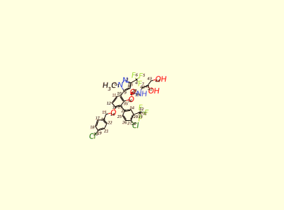 Cn1nc(C(F)(F)F)cc1-c1ccc(OCc2ccc(Cl)cc2)c(-c2ccc(Cl)c(C(F)(F)F)c2)c1OC(=O)NCC(O)CO